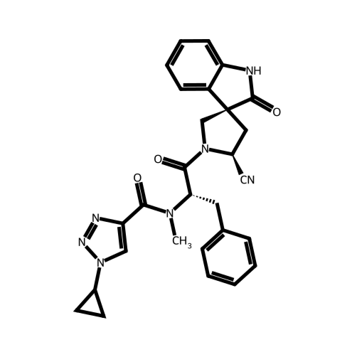 CN(C(=O)c1cn(C2CC2)nn1)[C@@H](Cc1ccccc1)C(=O)N1C[C@]2(C[C@H]1C#N)C(=O)Nc1ccccc12